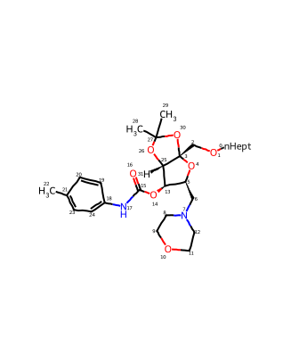 CCCCCCCOC[C@@]12O[C@@H](CN3CCOCC3)[C@@H](OC(=O)Nc3ccc(C)cc3)[C@@H]1OC(C)(C)O2